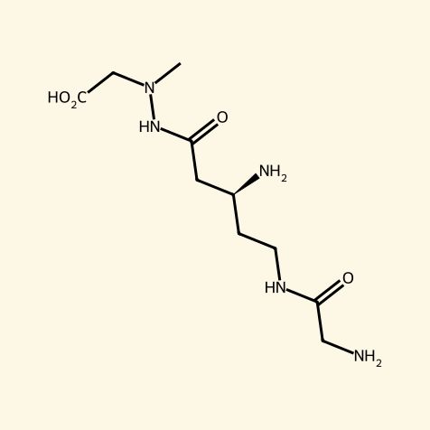 CN(CC(=O)O)NC(=O)C[C@@H](N)CCNC(=O)CN